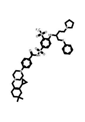 CC1(C)CCC(CN2CCN(c3ccc(C(=O)NS(=O)(=O)c4ccc(NC(CCN5CCCC5)CSc5ccccc5)c(S(=O)(=O)C(F)(F)F)c4)cc3)CC2)=C(C2CC2)C1